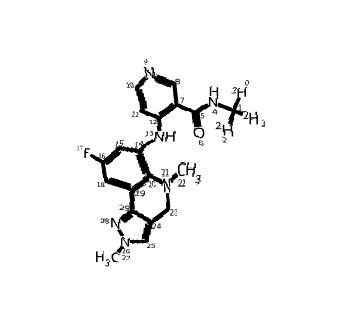 [2H]C([2H])([2H])NC(=O)c1cnccc1Nc1cc(F)cc2c1N(C)Cc1cn(C)nc1-2